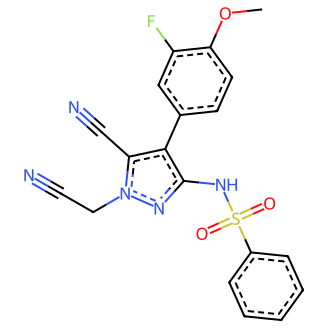 COc1ccc(-c2c(NS(=O)(=O)c3ccccc3)nn(CC#N)c2C#N)cc1F